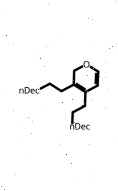 CCCCCCCCCCCCC1=C(CCCCCCCCCCCC)COC=C1